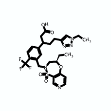 CC[C@@H]1CN(Cc2cc(C(CCc3cn(CC)nn3)CC(=O)O)ccc2C(F)(F)F)S(=O)(=O)c2cnccc2O1